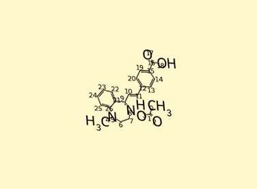 CC(=O)O.CN1CCN=C(C=Cc2ccc(C(=O)O)cc2)c2ccccc21